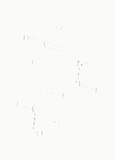 CCN(N)CC.O=P(O)(O)O.O=P(O)(O)O